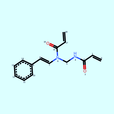 C=CC(=O)NCN(C=Cc1ccccc1)C(=O)C=C